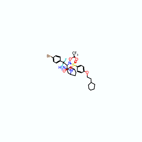 NC1CC2CCC(C1)N2C(=O)[C@H](N(OC(=O)C(F)(F)F)S(=O)(=O)c1ccc(OCCC2CCCCC2)cc1)C(F)(F)c1ccc(Br)cc1